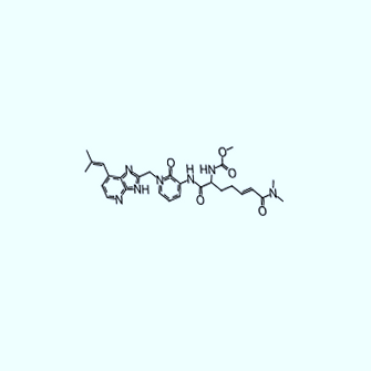 COC(=O)NC(CCC=CC(=O)N(C)C)C(=O)Nc1cccn(Cc2nc3c(C=C(C)C)ccnc3[nH]2)c1=O